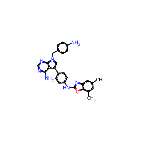 Cc1cc(C)c2oc(Nc3ccc(-c4cn(Cc5ccc(N)cc5)c5ncnc(N)c45)cc3)nc2c1